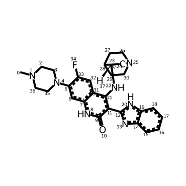 CN1CCN(c2cc3[nH]c(=O)c(-c4nc5ccccc5[nH]4)c(N[C@H]4CN5CCC4CC5)c3cc2F)CC1